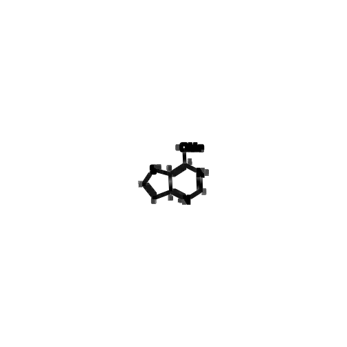 COc1ncnc2ccsc12